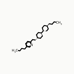 CCCCc1ccc(CC[C@H]2CC[C@H]([C@H]3CC[C@H](CCCC)CC3)CC2)nc1